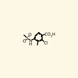 Cc1c(NS(C)(=O)=O)ccc(C(=O)O)c1Cl